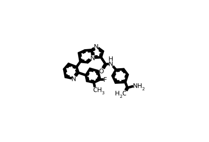 C=C(N)c1ccc(NC(=O)c2cnc3ccc(-c4cccnc4-c4ccc(F)c(C)c4)cn23)cc1